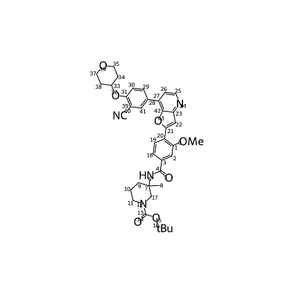 COc1cc(C(=O)NC2(C)CCCN(C(=O)OC(C)(C)C)C2)ccc1-c1cc2nccc(-c3ccc(OC4CCOCC4)c(C#N)c3)c2o1